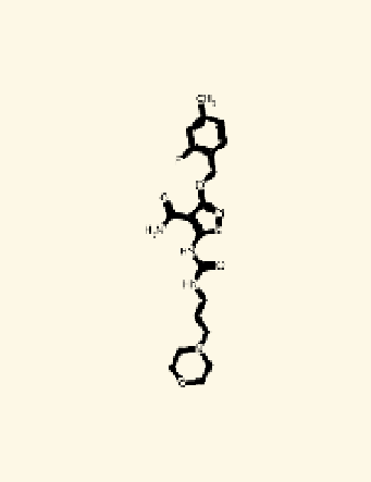 Cc1ccc(COc2nsc(NC(=O)NCCCN3CCOCC3)c2C(N)=O)c(F)c1